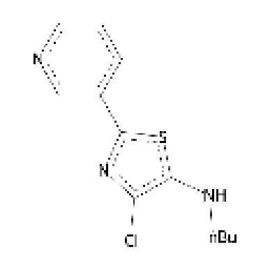 CCCCNc1sc(-c2cccnc2)nc1Cl